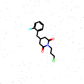 O=C1CC(Cc2ccccc2F)CC(=O)N1CCCCl